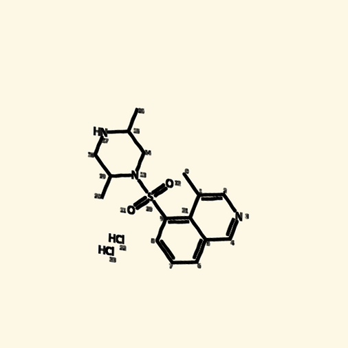 Cc1cncc2cccc(S(=O)(=O)N3CC(C)NCC3C)c12.Cl.Cl